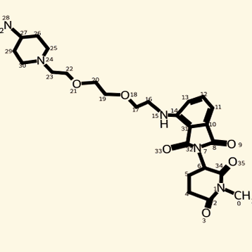 CN1C(=O)CCC(N2C(=O)c3cccc(NCCOCCOCCN4CCC(N)CC4)c3C2=O)C1=O